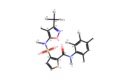 [2H]c1c(C)cc(C)c(N([2H])C(=O)c2sccc2S(=O)(=O)N([2H])c2onc(C([2H])([2H])[2H])c2C)c1C(C)=O